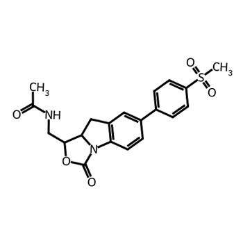 CC(=O)NCC1OC(=O)N2c3ccc(-c4ccc(S(C)(=O)=O)cc4)cc3CC12